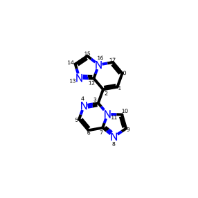 c1cc(-c2nccc3nccn23)c2nccn2c1